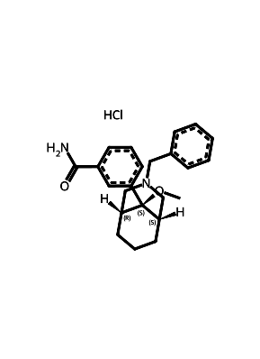 CO[C@]1(c2cccc(C(N)=O)c2)[C@@H]2CCC[C@H]1CN(Cc1ccccc1)C2.Cl